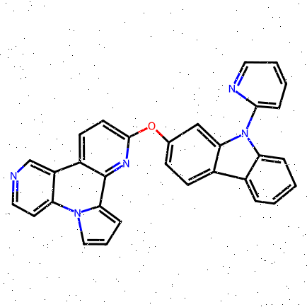 c1ccc(-n2c3ccccc3c3ccc(Oc4ccc5c6cnccc6n6cccc6c5n4)cc32)nc1